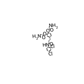 NCC(=O)Oc1ccc(CCC(=O)Nc2ccc(Cl)cc2Cl)cc1OC(=O)CN